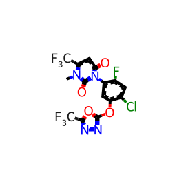 Cn1c(C(F)(F)F)cc(=O)n(-c2cc(Oc3nnc(C(F)(F)F)o3)c(Cl)cc2F)c1=O